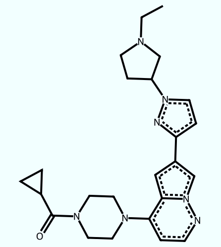 CCN1CCC(n2ccc(-c3cc4c(N5CCN(C(=O)C6CC6)CC5)ccnn4c3)n2)C1